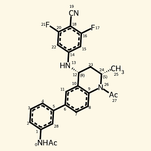 CC(=O)Nc1cccc(-c2ccc3c(c2)[C@H](Nc2cc(F)c(C#N)c(F)c2)C[C@H](C)N3C(C)=O)c1